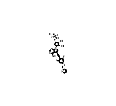 Nc1ncnc2c1c(C#Cc1c(F)cc(OCn3cccn3)cc1F)cn2[C@@H]1C[C@H](CNS(N)(=O)=O)[C@@H](O)[C@H]1O